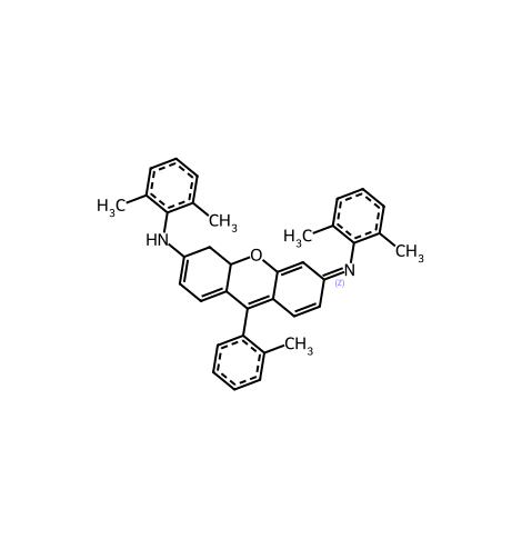 Cc1ccccc1C1=C2C=C/C(=N/c3c(C)cccc3C)C=C2OC2CC(Nc3c(C)cccc3C)=CC=C12